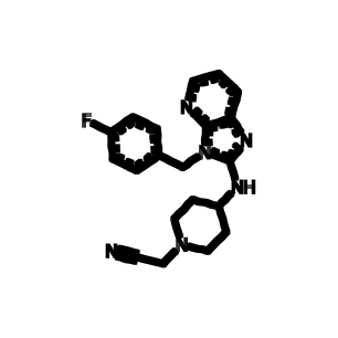 N#CCN1CCC(Nc2nc3cccnc3n2Cc2ccc(F)cc2)CC1